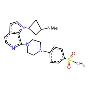 CNC1CC(n2ccc3ccnc(N4CCN(c5ccc(S(C)(=O)=O)cc5)CC4)c32)C1